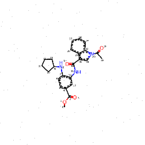 COC(=O)c1ccc(NC2CCCC2)c(NC(=O)c2cn(C(C)=O)c3ccccc23)c1